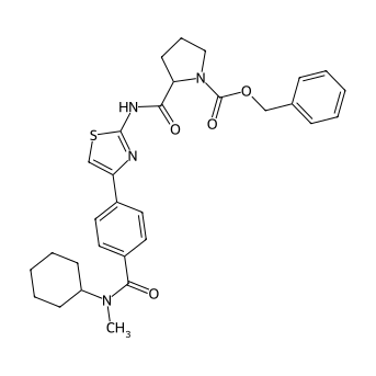 CN(C(=O)c1ccc(-c2csc(NC(=O)C3CCCN3C(=O)OCc3ccccc3)n2)cc1)C1CCCCC1